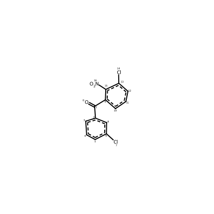 O=C(c1cccc(Cl)c1)c1cccc(Cl)c1[N+](=O)[O-]